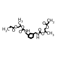 C=CC(=O)OCC(C)OC(=O)NCc1cccc(CNC(=O)OC(C)COC(=O)C=C)c1